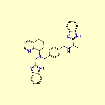 CC(NCc1ccc(CN(Cc2nc3ccccc3[nH]2)C2CCCc3cccnc32)cc1)c1nc2ccccc2[nH]1